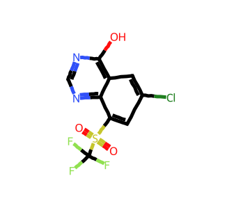 O=S(=O)(c1cc(Cl)cc2c(O)ncnc12)C(F)(F)F